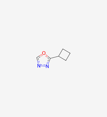 c1nnc(C2CCC2)o1